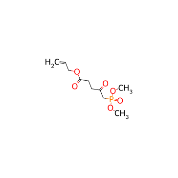 C=CCOC(=O)CCC(=O)CP(=O)(OC)OC